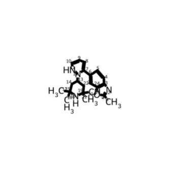 Cc1nc2ccc(C3=CC=CNN3C3CC(C)(C)NC(C)(C)C3)cc2o1